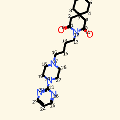 O=C1CC2(CCCCC2)CC(=O)N1CCCCN1CCN(c2ncccn2)CC1